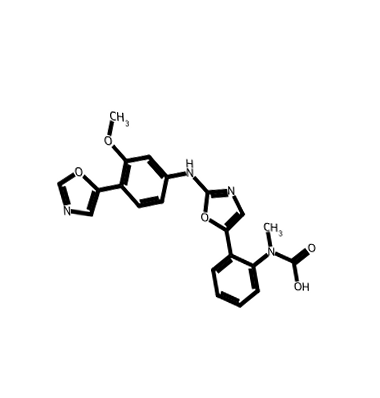 COc1cc(Nc2ncc(-c3ccccc3N(C)C(=O)O)o2)ccc1-c1cnco1